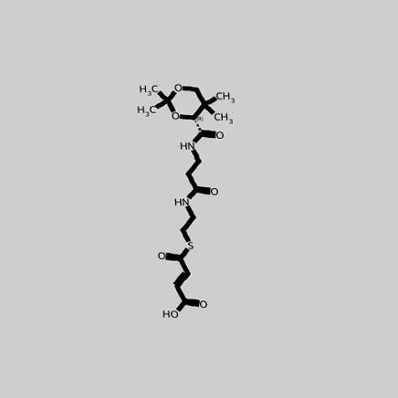 CC1(C)OCC(C)(C)[C@H](C(=O)NCCC(=O)NCCSC(=O)C=CC(=O)O)O1